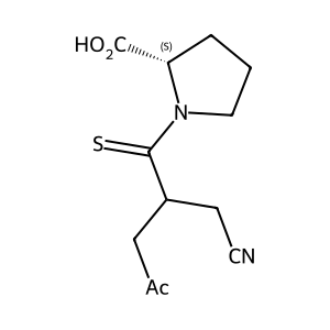 CC(=O)CC(CC#N)C(=S)N1CCC[C@H]1C(=O)O